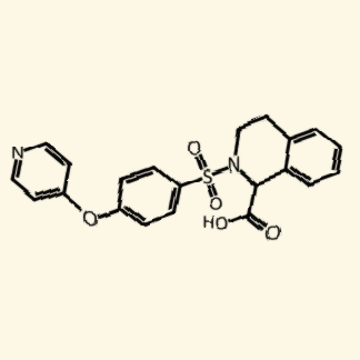 O=C(O)C1c2ccccc2CCN1S(=O)(=O)c1ccc(Oc2ccncc2)cc1